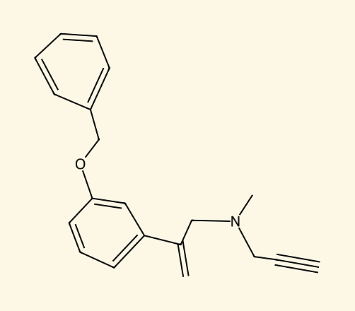 C#CCN(C)CC(=C)c1cccc(OCc2ccccc2)c1